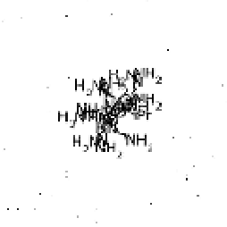 CC(C)C[C@@H](NC(=O)[C@@H](N)CCCN=C(N)N)C(=O)N[C@@H](CCCN=C(N)N)C(=O)N[C@@H](CCCN=C(N)N)C(=O)N[C@H](CCCN=C(N)N)C(=O)NCCCCN